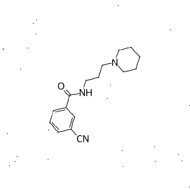 N#Cc1cccc(C(=O)NCCCN2CCCCC2)c1